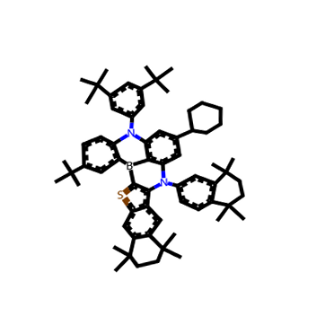 CC(C)(C)c1cc(N2c3ccc(C(C)(C)C)cc3B3c4sc5cc6c(cc5c4N(c4ccc5c(c4)C(C)(C)CCC5(C)C)c4cc(C5CCCCC5)cc2c43)C(C)(C)CCC6(C)C)cc(C(C)(C)C)c1